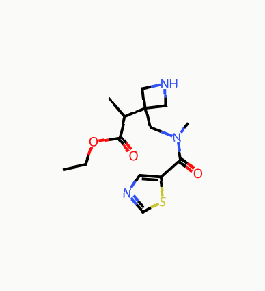 CCOC(=O)C(C)C1(CN(C)C(=O)c2cncs2)CNC1